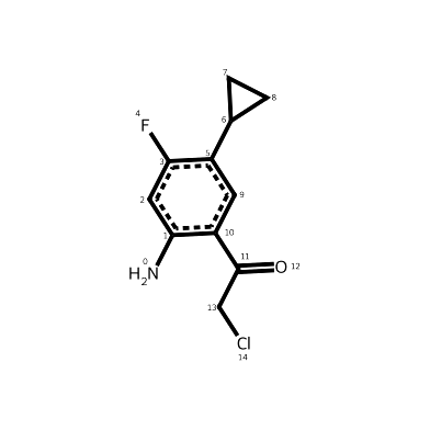 Nc1cc(F)c(C2CC2)cc1C(=O)CCl